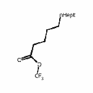 CCCCCCCCCCCC(=O)OC(F)(F)F